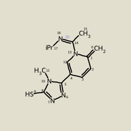 C=C1C=CC(c2nnc(S)n2C)=CN1/C(C)=N\C(C)C